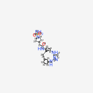 Cc1cnc2nc1Nc1ccc(NC(=O)CC3CCN(S(N)(=O)=O)CC3)c(c1)CCc1cccc(c1)N2